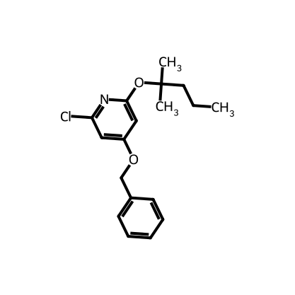 CCCC(C)(C)Oc1cc(OCc2ccccc2)cc(Cl)n1